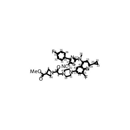 COC(=O)C1CN(C(=O)CN2CCN(c3cc(F)c4nc(C5CC5)cc(N(C)c5nc(-c6ccc(F)cc6)c(C#N)s5)c4c3)CC2)C1